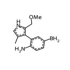 Bc1ccc(N)c(-c2c(C)c[nH]c2COC)c1